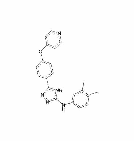 Cc1ccc(Nc2nnc(-c3ccc(Oc4ccncc4)cc3)[nH]2)cc1C